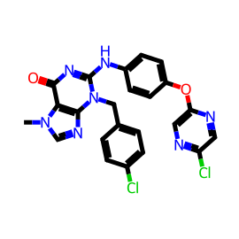 Cn1cnc2c1c(=O)nc(Nc1ccc(Oc3cnc(Cl)cn3)cc1)n2Cc1ccc(Cl)cc1